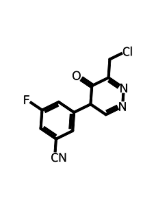 N#Cc1cc(F)cc(C2C=NN=C(CCl)C2=O)c1